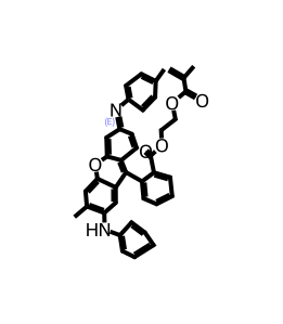 C=C(C)C(=O)OCCOC(=O)c1ccccc1-c1c2cc/c(=N\c3ccc(C)cc3)cc-2oc2cc(C)c(Nc3ccccc3)cc12